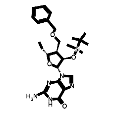 CC[C@H]1O[C@@H](n2cnc3c(=O)[nH]c(N)nc32)[C@H](O[Si](C)(C)C(C)(C)C)[C@@H]1COCc1ccccc1